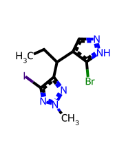 CCC(c1cn[nH]c1Br)c1nn(C)nc1I